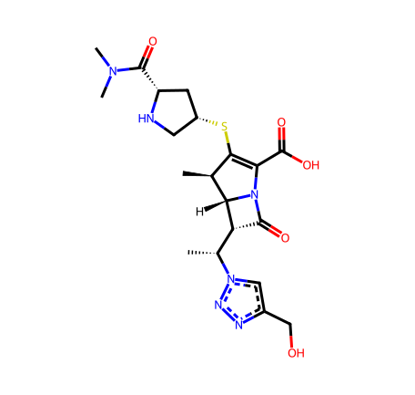 C[C@H]([C@H]1C(=O)N2C(C(=O)O)=C(S[C@@H]3CN[C@H](C(=O)N(C)C)C3)[C@H](C)[C@@H]12)n1cc(CO)nn1